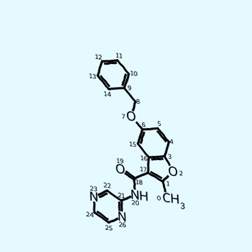 Cc1oc2ccc(OCc3ccccc3)cc2c1C(=O)Nc1cnccn1